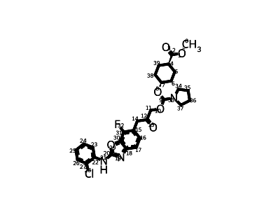 COC(=O)[C@H]1CC[C@H](OC(OCC(=O)Cc2ccc3nc(Nc4ccccc4Cl)oc3c2F)N2CCCC2)CC1